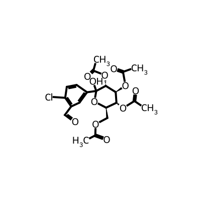 CC(=O)OC[C@H]1OC(O)(c2ccc(Cl)c(C=O)c2)[C@H](OC(C)=O)[C@@H](OC(C)=O)[C@@H]1OC(C)=O